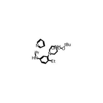 CC(C)(C)OC=O.CCc1ccc(NC(C)C)cc1N1CCNCC1.c1ccncc1